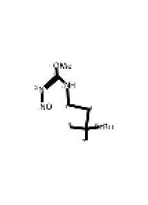 COC(=NN=O)NCCC(C)(C)C(C)(C)C